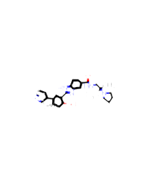 COc1ncccc1-c1ccc(O)c(-c2nc3cc(C(=O)NCC(C)(C)N4CCCC4)ccc3[nH]2)c1